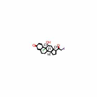 C[C@]12C=CC(=O)C=C1CC[C@H]1[C@@H]3CC=C(C(=O)CI)[C@@]3(C)C[C@H](O)C12F